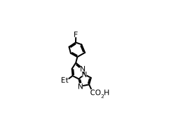 CCc1cc(-c2ccc(F)cc2)nn2cc(C(=O)O)nc12